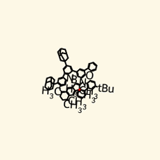 CC(C)(C)c1ccc(N2C3=C(B4c5c(cc6c(oc7ccccc76)c52)-c2cc(C56CC7CC(CC(C7)C5)C6)cc5c6cc(C78CC9CC(CC(C9)C7)C8)ccc6n4c25)c2cc4c(cc2C3(C)C)C(C)(C)CCC4(C)C)c(-c2ccccc2)c1